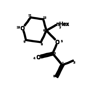 C=C(C)C(=O)OC1(CCCCCC)CCOCC1